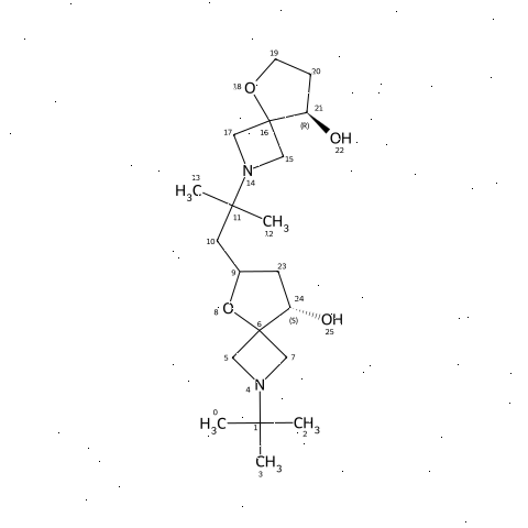 CC(C)(C)N1CC2(C1)OC(CC(C)(C)N1CC3(C1)OCC[C@H]3O)C[C@@H]2O